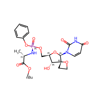 CCCCOC(=O)[C@H](C)N[P@@](=O)(OC[C@H]1O[C@@H](n2ccc(=O)[nH]c2=O)[C@@]2(CCO2)[C@@H]1O)Oc1ccccc1